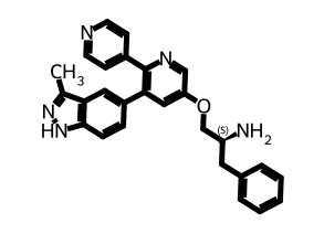 Cc1n[nH]c2ccc(-c3cc(OC[C@@H](N)Cc4ccccc4)cnc3-c3ccncc3)cc12